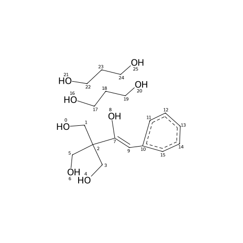 OCC(CO)(CO)C(O)=Cc1ccccc1.OCCCO.OCCCO